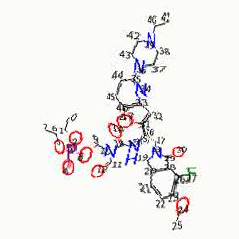 CCOP(=O)(OCC)OCN(C=O)C(=O)N[C@@H](CN1Cc2ccc(OC)c(F)c2C1=O)c1cc2nc(N3CCN(CC)CC3)ccc2o1